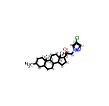 CC1CCC2(C)C(CCC3C2CCC2(C)C(C(=O)Cn4cc(Cl)cn4)CCC32)C1